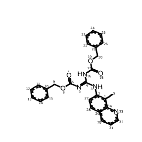 Cc1c(NC(=NC(=O)OCc2ccccc2)NC(=O)OCc2ccccc2)ccc2cccnc12